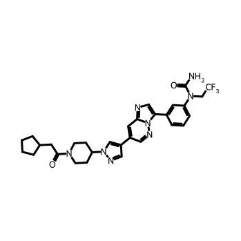 NC(=O)N(CC(F)(F)F)c1cccc(-c2cnc3cc(-c4cnn(C5CCN(C(=O)CC6CCCC6)CC5)c4)cnn23)c1